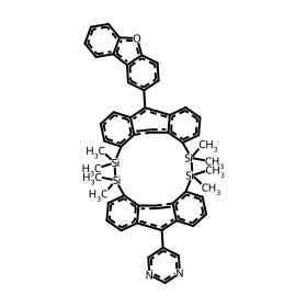 C[Si]1(C)c2cccc3c(-c4cncnc4)c4cccc(c4cc23)[Si](C)(C)[Si](C)(C)c2cccc3c(-c4ccc5oc6ccccc6c5c4)c4cccc(c4cc23)[Si]1(C)C